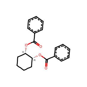 O=C(O[C@H]1CCCC[C@H]1OC(=O)c1ccccc1)c1ccccc1